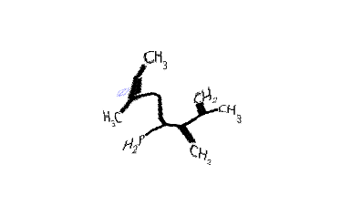 C=C(C)C(=C)C(P)C/C(C)=C\C